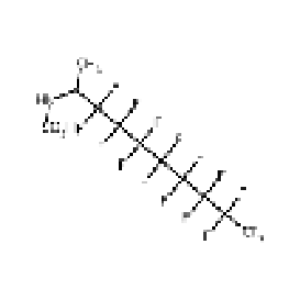 CC(NS(=O)(=O)O)C(F)(F)C(F)(F)C(F)(F)C(F)(F)C(F)(F)C(F)(F)C(F)(F)C(F)(F)F